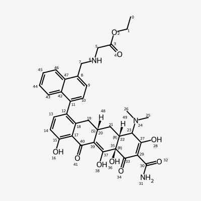 CCOC(=O)CNCc1ccc(-c2ccc(O)c3c2C[C@@H]2C[C@@H]4C(N(C)C)C(O)=C(C(N)=O)C(=O)[C@]4(O)C(O)=C2C3=O)c2ccccc12